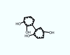 Oc1ccc(O)c(-c2cccc(O)c2O)c1